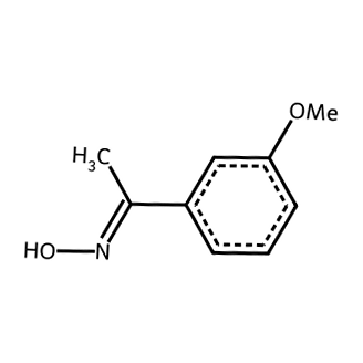 COc1cccc(/C(C)=N/O)c1